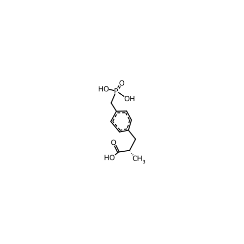 C[C@@H](Cc1ccc(CP(=O)(O)O)cc1)C(=O)O